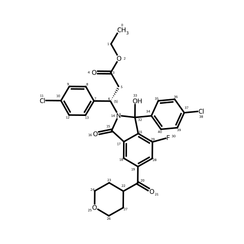 CCOC(=O)C[C@@H](c1ccc(Cl)cc1)N1C(=O)c2cc(C(=O)C3CCOCC3)cc(F)c2C1(O)c1ccc(Cl)cc1